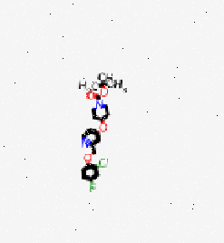 CC(C)(C)OC(=O)N1CCC(Oc2ccnc(COc3ccc(F)cc3Cl)c2)CC1